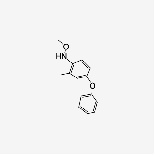 CONc1ccc(Oc2ccccc2)cc1C